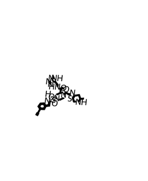 C#Cc1ccc2[nH]c(S(=O)(=O)N3CCN(C(=O)c4nc5c(s4)CNC(C)C5)C(C(=O)NCc4nnn[nH]4)C3)cc2c1